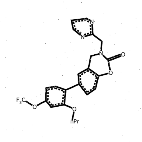 CCCOc1cc(OC(F)(F)F)ccc1-c1ccc2c(c1)CN(Cc1ncccn1)C(=O)O2